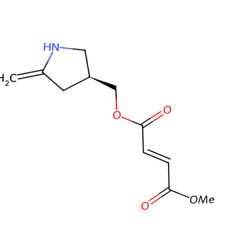 C=C1C[C@H](COC(=O)/C=C/C(=O)OC)CN1